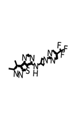 Cc1nnc2sc3c(NC4CN(c5ncc(C(F)(F)F)cn5)C4)ncnc3c2c1C